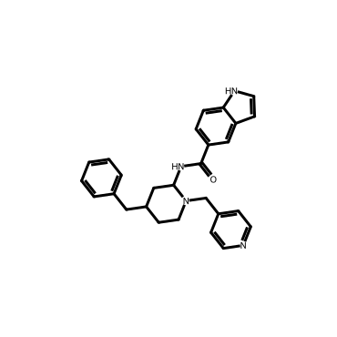 O=C(NC1CC(Cc2ccccc2)CCN1Cc1ccncc1)c1ccc2[nH]ccc2c1